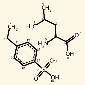 CC(C)CC(N)C(=O)O.CCc1ccc(S(=O)(=O)O)cc1